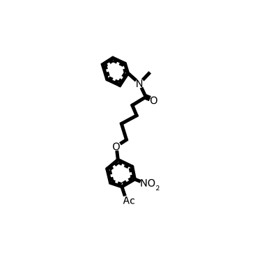 CC(=O)c1ccc(OCCCCC(=O)N(C)c2ccccc2)cc1[N+](=O)[O-]